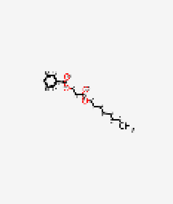 CCCCCCCCOC(=O)CCOC(=O)c1ccccc1